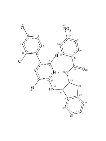 CCc1nc(-c2ccc(Cl)cc2Cl)c(CC)nc1NC1c2ccccc2CC1OC(=O)c1ccc([N+](=O)[O-])cc1